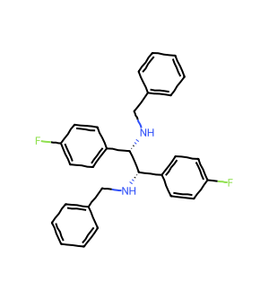 Fc1ccc([C@H](NCc2ccccc2)[C@@H](NCc2ccccc2)c2ccc(F)cc2)cc1